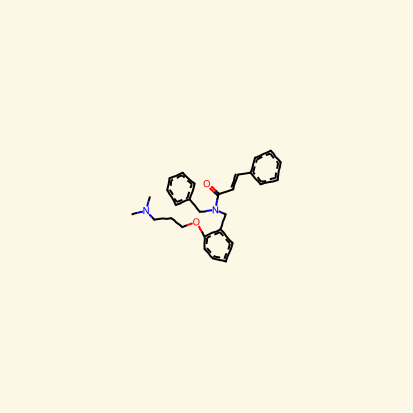 CN(C)CCCOc1ccccc1CN(Cc1ccccc1)C(=O)/C=C/c1ccccc1